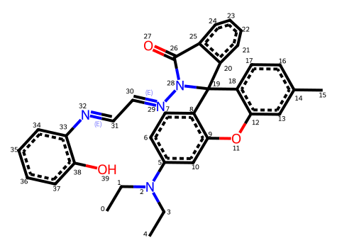 CCN(CC)c1ccc2c(c1)Oc1cc(C)ccc1C21c2ccccc2C(=O)N1/N=C/C=N/c1ccccc1O